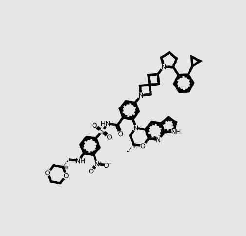 C[C@@H]1CN(c2cc(N3CC4(CC(N5CCCC5c5ccccc5C5CC5)C4)C3)ccc2C(=O)NS(=O)(=O)c2ccc(NC[C@H]3COCCO3)c([N+](=O)[O-])c2)c2cc3cc[nH]c3nc2O1